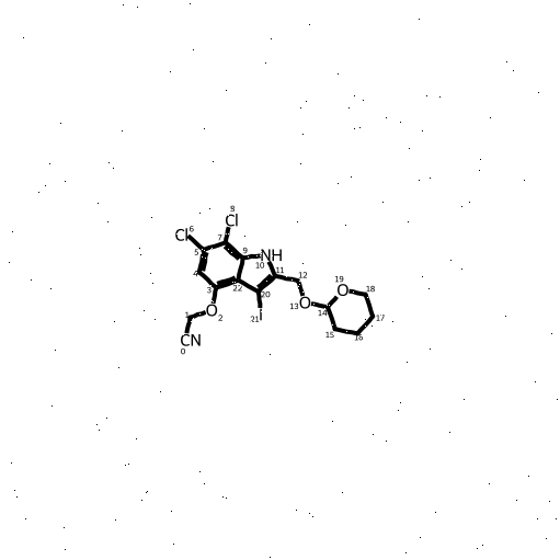 N#CCOc1cc(Cl)c(Cl)c2[nH]c(COC3CCCCO3)c(I)c12